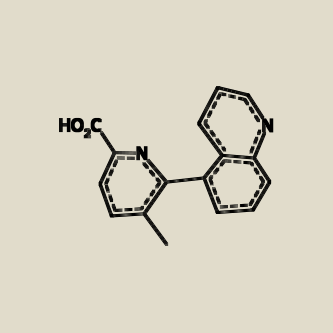 Cc1ccc(C(=O)O)nc1-c1cccc2ncccc12